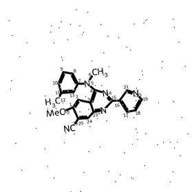 COc1cc2c(N(C)c3cccc(C)c3)nc(-c3cccnc3)nc2cc1C#N